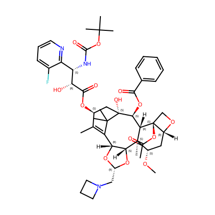 CO[C@H]1C[C@H]2OC[C@@]2(OC(C)=O)[C@H]2[C@H](OC(=O)c3ccccc3)[C@]3(O)C[C@H](OC(=O)[C@H](O)[C@@H](NC(=O)OC(C)(C)C)c4ncccc4F)C(C)=C([C@H]4O[C@@H](CN5CCC5)O[C@H]4[C@]12C)C3(C)C